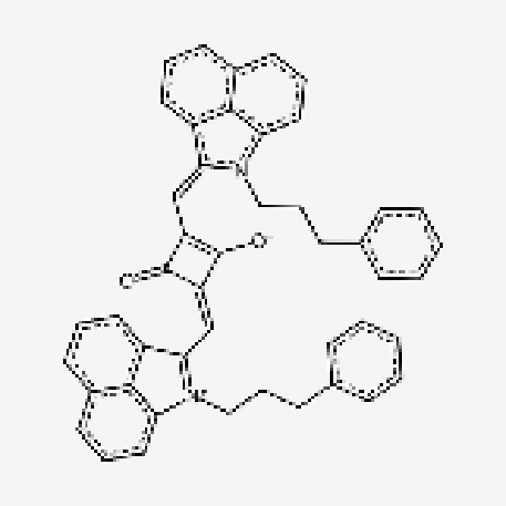 O=C1C(/C=c2/c3cccc4cccc(c43)n2CCCc2ccccc2)=C([O-])C/1=C/C1=[N+](CCCc2ccccc2)c2cccc3cccc1c23